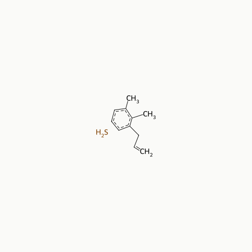 C=CCc1cccc(C)c1C.S